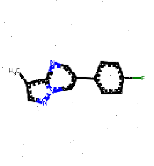 Cc1cnn2cc(-c3ccc(F)cc3)cnc12